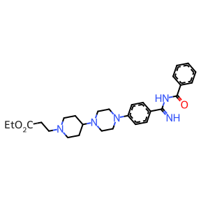 CCOC(=O)CCN1CCC(N2CCN(c3ccc(C(=N)NC(=O)c4ccccc4)cc3)CC2)CC1